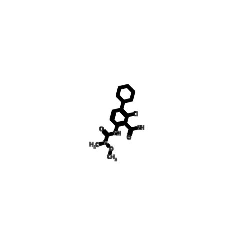 CON(C)C(=O)Nc1ccc(C2CCCCC2)c(Cl)c1C(=O)S